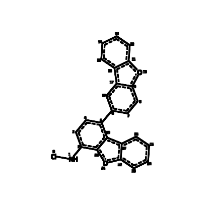 ClNc1ccc(-c2ccc3oc4ccccc4c3c2)c2c1oc1ccccc12